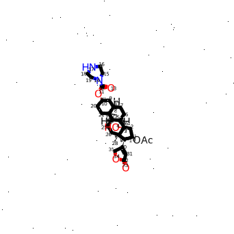 CC(=O)O[C@H]1C[C@]2(O)[C@@H]3CC[C@@H]4C[C@@H](OC(=O)N5CCNCC5)CC[C@]4(C)[C@H]3CC[C@]2(C)[C@H]1C1=CC(=O)OC1